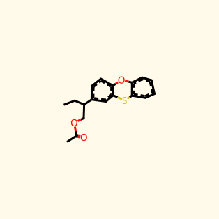 CCC(COC(C)=O)c1ccc2c(c1)Sc1ccccc1O2